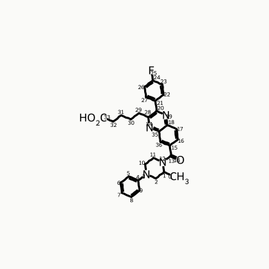 CC1CN(c2ccccc2)CCN1C(=O)c1ccc2nc(-c3ccc(F)cc3)c(CCCCC(=O)O)nc2c1